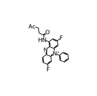 CC(=O)CCC(=O)Nc1cc(F)cc2c1nc1ccc(F)cc1[n+]2-c1ccccc1